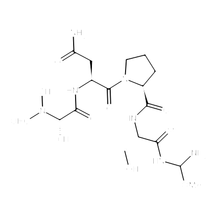 COC(N)NC(=O)[C@H](CO)NC(=O)[C@@H]1CCCN1C(=O)[C@H](CC(N)=O)NC(=O)[C@H](C)N(C)C=O